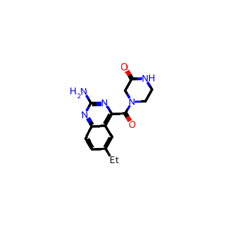 CCc1ccc2nc(N)nc(C(=O)N3CCNC(=O)C3)c2c1